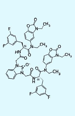 CCN(C(=O)[C@H](Cc1cc(F)cc(F)c1)NC(=O)CN1c2ccccc2N(CC(=O)N[C@@H](Cc2cc(F)cc(F)c2)C(=O)N(CC)c2ccc3oc(=O)n(CC)c3c2)[S+]1[O-])c1ccc2oc(=O)n(CC)c2c1